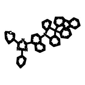 c1ccc(-c2nc(-c3ccccc3)nc(-c3ccc(N4c5ccccc5C(c5ccccc5)(c5cccc6c5oc5ccccc56)c5ccccc54)c4ccccc34)n2)cc1